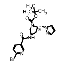 CC(C)(C)OC(=O)N1C[C@H](NC(=O)c2ccc(Br)nc2)C[C@H]1Cn1cccn1